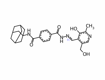 Cc1ncc(CO)c(/C=N/NC(=O)c2ccc(C(=O)NC34CC5CC(CC(C5)C3)C4)cc2)c1O